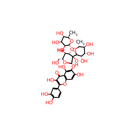 C[C@H]1O[C@H](O[C@H]2[C@H](O)[C@@H](CO)O[C@@H](Oc3c(O)cc4oc(-c5ccc(O)c(O)c5)c(O)c(=O)c4c3O)[C@@]2(O)C2O[C@H](C)[C@@H](O)[C@H](O)[C@@H]2O)[C@@H](O)[C@@H](O)[C@@H]1O